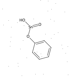 [O]=[Sn]([OH])[O]c1ccccc1